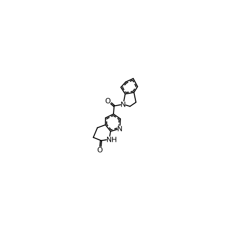 O=C1CCc2cc(C(=O)N3CCc4ccccc43)cnc2N1